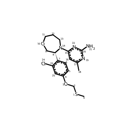 CSCOc1ccc([C@@H]2COCCCN2c2cc(C)nc(N)n2)c(Cl)c1